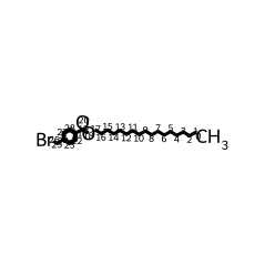 CCCCCCCCCCCCCCCCCCOC(=O)c1ccc(CBr)cc1